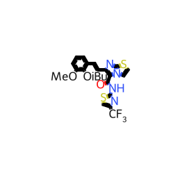 COc1cccc(C=Cc2nc3sccn3c2C(=O)Nc2nc(C(F)(F)F)cs2)c1OCC(C)C